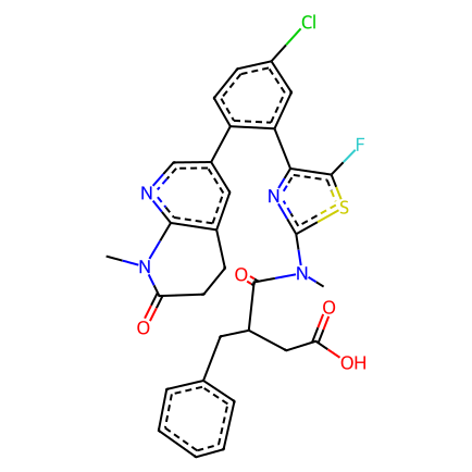 CN(C(=O)C(CC(=O)O)Cc1ccccc1)c1nc(-c2cc(Cl)ccc2-c2cnc3c(c2)CCC(=O)N3C)c(F)s1